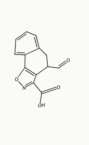 O=CC1Cc2ccccc2-c2onc(C(=O)O)c21